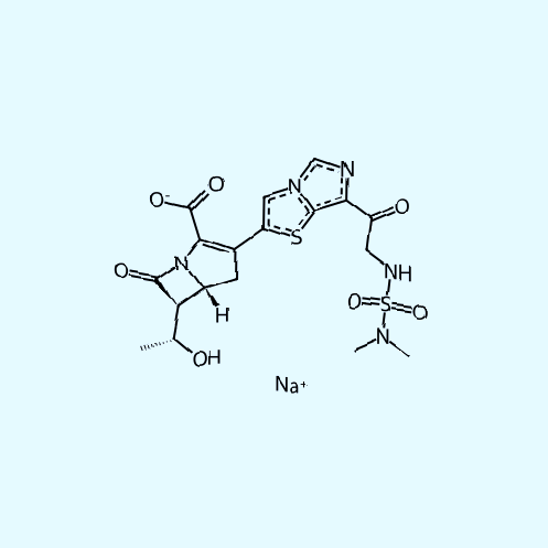 C[C@@H](O)[C@H]1C(=O)N2C(C(=O)[O-])=C(c3cn4cnc(C(=O)CNS(=O)(=O)N(C)C)c4s3)C[C@H]12.[Na+]